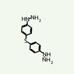 NNc1ccc(Sc2ccc(NN)cc2)cc1